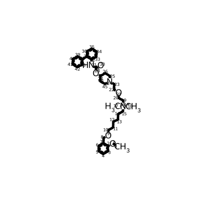 COc1ccccc1COCCCCCC[N+](C)(C)CCOCCN1CCC(OC(=O)Nc2ccccc2-c2ccccc2)CC1